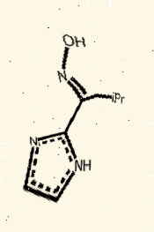 CC(C)C(=NO)c1ncc[nH]1